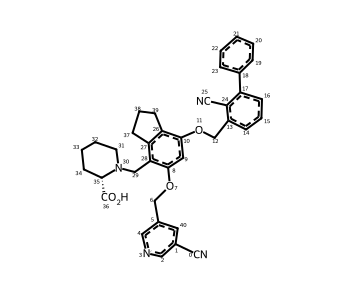 N#Cc1cncc(COc2cc(OCc3cccc(-c4ccccc4)c3C#N)c3c(c2CN2CCCC[C@H]2C(=O)O)CCC3)c1